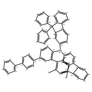 Cc1cccc(C)c1-c1cc(-c2ccc(-c3ccccc3)cc2)ccc1N(c1ccc2c(c1)C(C)(C)c1ccccc1-2)c1ccc2c(c1)C(c1ccccc1)(c1ccccc1)c1ccccc1-2